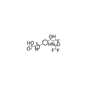 O=C(N[C@H](CF)[C@H](O)c1ccc(-c2cnc(C3(O)COC3)s2)cc1)C(F)F